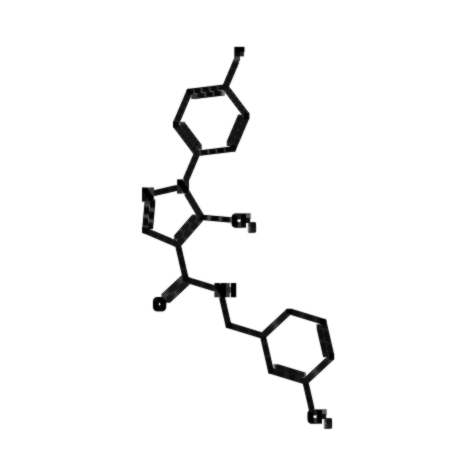 O=C(NCC1C=C(C(F)(F)F)C=CC1)c1cnn(-c2ccc(F)cc2)c1C(F)(F)F